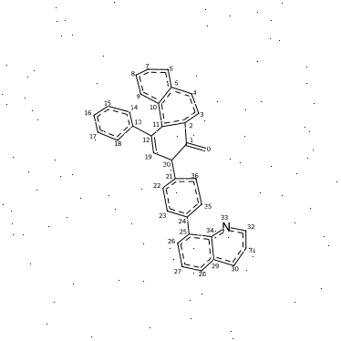 C=C1c2ccc3ccccc3c2C(c2ccccc2)=CC1c1ccc(-c2cccc3cccnc23)cc1